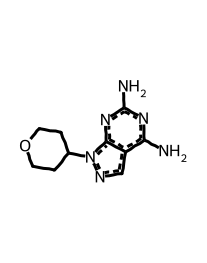 Nc1nc(N)c2cnn(C3CCOCC3)c2n1